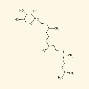 CC(C)CCCC(C)CCCC(C)CCCC(C)CCOC1OCC(O)[C@H](O)[C@@H]1O